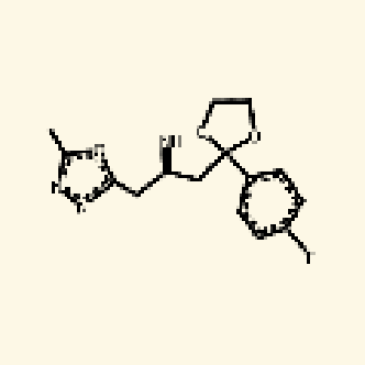 Cc1nnc(CC(=N)CC2(c3ccc(F)cc3)OCCO2)o1